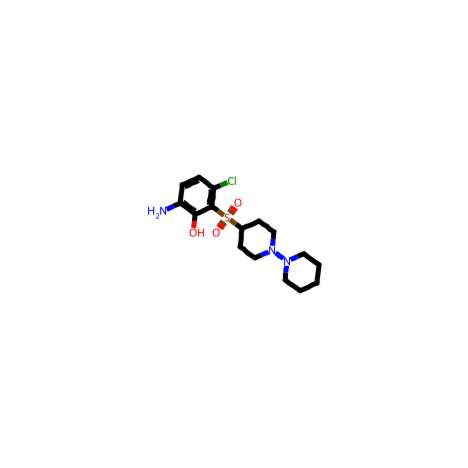 Nc1ccc(Cl)c(S(=O)(=O)C2CCN(N3CCCCC3)CC2)c1O